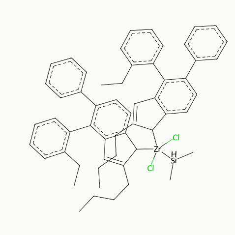 CCCCC1=Cc2c(ccc(-c3ccccc3)c2-c2ccccc2CC)[CH]1[Zr]([Cl])([Cl])([CH]1C(CCCC)=Cc2c1ccc(-c1ccccc1)c2-c1ccccc1CC)[SiH](C)C